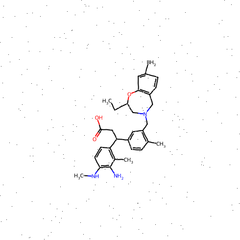 Bc1ccc2c(c1)OC(CC)CN(Cc1cc(C(CC(=O)O)c3ccc(NC)c(N)c3C)ccc1C)C2